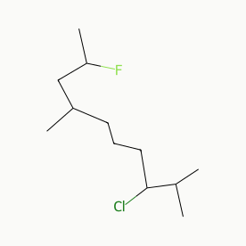 CC(F)CC(C)CCCC(Cl)C(C)C